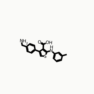 Cc1cccc(Nc2scc(-c3ccc(CN)cc3)c2C(=O)O)c1